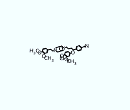 COc1ccc(CCN2CC3CN(CCCC(Oc4ccc(OC)c(OC)c4)c4ccc(C#N)cc4)CC(C2)O3)cc1OC